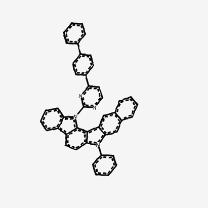 c1ccc(-c2ccc(-c3ccnc(-n4c5ccccc5c5ccc6c(c7cc8ccccc8cc7n6-c6ccccc6)c54)n3)cc2)cc1